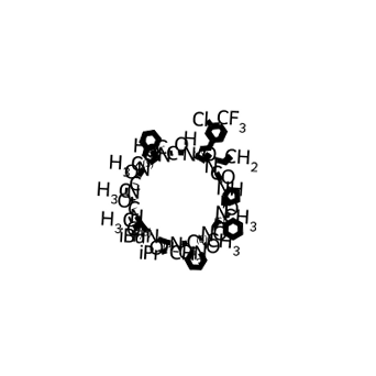 C=CCN1CC(=O)NC2(CCCC2)C(=O)N(C)[C@@H](C2CCCCC2)C(=O)N(C)[C@H](C(=O)N2CCCCC2)CC(=O)N(C)[C@@H](CC(C)C)C(=O)N[C@@H]([C@@H](C)CC)C(=O)N(C)CC(=O)N(C)CC(=O)N(C)[C@@H](CC2CCCCC2)C(=O)N(C)CC(=O)N[C@@H](CCc2ccc(C(F)(F)F)c(Cl)c2)C1=O